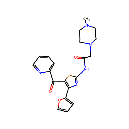 CN1CCN(CC(=O)Nc2nc(-c3ccco3)c(C(=O)c3ccccn3)s2)CC1